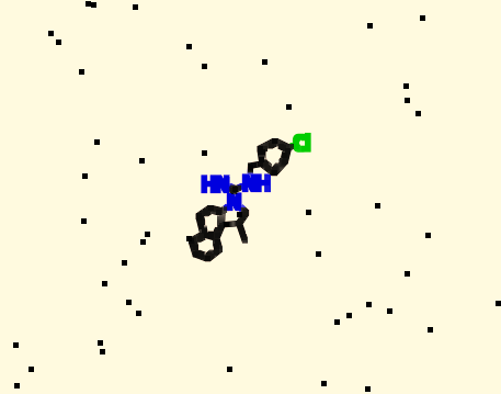 CC1CN(C(=N)NCc2ccc(Cl)cc2)c2ccc3ccccc3c21